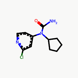 NC(=O)N(c1ccnc(Cl)c1)C1CCCC1